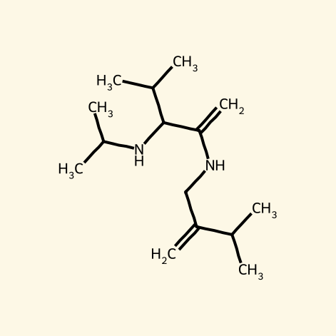 C=C(CNC(=C)C(NC(C)C)C(C)C)C(C)C